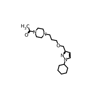 CC(=O)N1CCN(CCCOCc2ccn(C3CCCCC3)n2)CC1